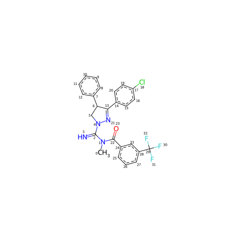 CN(C(=N)N1CC(c2ccccc2)C(c2ccc(Cl)cc2)=N1)C(=O)c1cccc(C(F)(F)F)c1